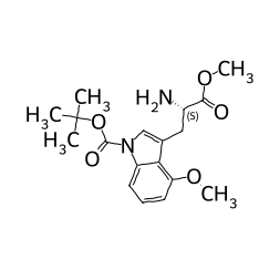 COC(=O)[C@@H](N)Cc1cn(C(=O)OC(C)(C)C)c2cccc(OC)c12